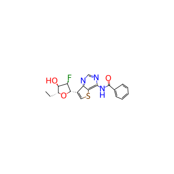 CC[C@H]1O[C@@H](c2csc3c(NC(=O)c4ccccc4)ncnc23)[C@H](F)[C@@H]1O